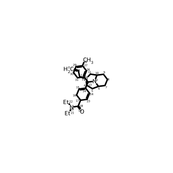 C=CCN1CCC2CCCC(C1)N2C(C1=CCC(C(=O)N(CC)CC)C=C1)C1=CC(C)=CCC1